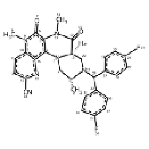 C[C@@H]1CN2c3c(c(=O)n(C)c4ccc(C#N)nc34)N(C)C(=O)[C@H]2CN1C(c1ccc(F)cc1)c1ccc(F)cc1